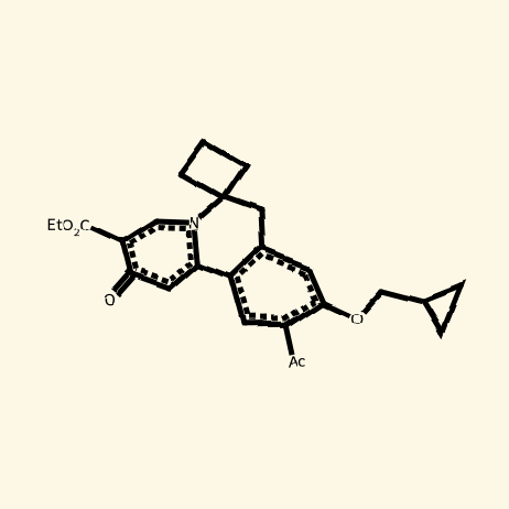 CCOC(=O)c1cn2c(cc1=O)-c1cc(C(C)=O)c(OCC3CC3)cc1CC21CCC1